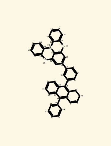 C1=Cc2c(c(-c3cccc(-c4cc5c6c(c4)Sc4ccccc4B6c4ccccc4S5)c3)c3ccccc3c2-c2ccccc2)CC1